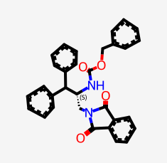 O=C(N[C@H](CN1C(=O)c2ccccc2C1=O)C(c1ccccc1)c1ccccc1)OCc1ccccc1